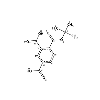 CC(C)(C)OC(=O)c1ccc(C(=O)O)cc1C(=O)O